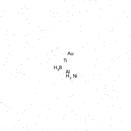 B.[AlH3].[Au].[Ni].[Ti]